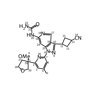 CO[C@]1(c2cc(C)cc(-n3nc(C4CC(C#N)C4)c4cnc(NC(N)=O)cc43)n2)CCOC1